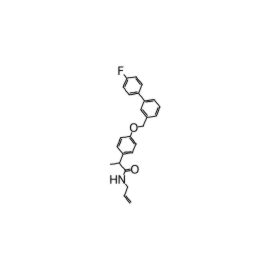 C=CCNC(=O)C(C)c1ccc(OCc2cccc(-c3ccc(F)cc3)c2)cc1